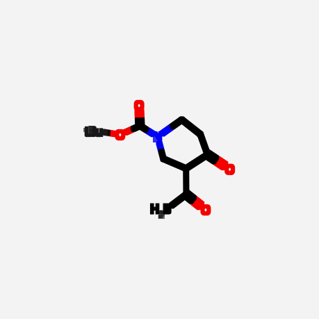 BC(=O)C1CN(C(=O)OC(C)(C)C)CCC1=O